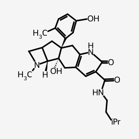 Cc1ccc(O)cc1[C@@]12Cc3[nH]c(=O)c(C(=O)NCCC(C)C)cc3C[C@@]1(O)[C@H]1C(CN1C)C2